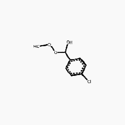 OOOC(O)c1ccc(Cl)cc1